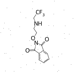 O=C1c2ccccc2C(=O)N1OCCNCC(F)(F)F